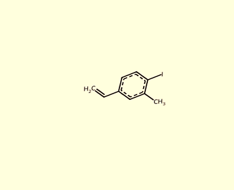 C=Cc1ccc(I)c(C)c1